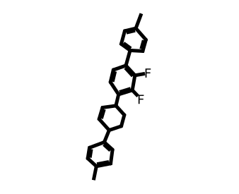 Cc1ccc(-c2ccc(C3C=CC(c4ccc(C)cc4)CC3)c(F)c2F)cc1